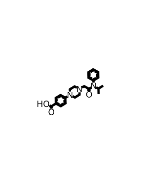 CC(C)N(C(=O)CN1CCN(c2ccc(C(=O)O)cc2)CC1)c1ccccc1